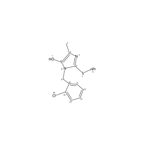 CCCSc1nc(C)c(O)n1Cc1ccccc1Cl